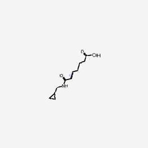 O=C(O)CCC/C=C/C(=O)NCC1CC1